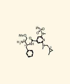 COC[C@H](N)[C@H](Cc1ccccc1)NC(=O)c1cc(N(C)C[C@H]2CC2C)nc(N(C)S(=O)(=O)C(C)C)c1